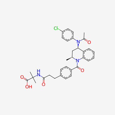 CC(=O)N(c1ccc(Cl)cc1)[C@@H]1C[C@H](C)N(C(=O)c2ccc(CCC(=O)NC(C)(C)C(=O)O)cc2)c2ccccc21